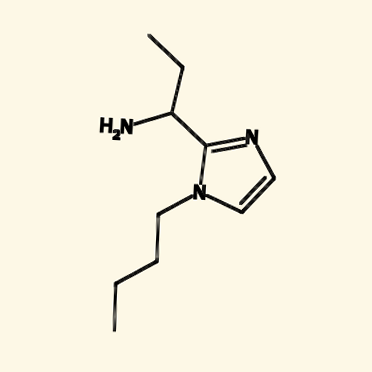 CCCCn1ccnc1C(N)CC